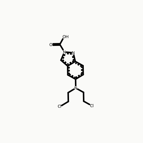 O=C(O)n1cc2cc(N(CCCl)CCCl)ccc2n1